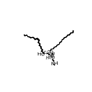 CCCCCCCC/C=C\CCCCCCCC(O)OCC(COP(=O)(O)OCCNC)OC(=O)CCCCCCCCCCCCCCCCC